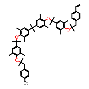 C=Cc1ccc(CC(C)(C)Oc2c(C)cc(C(C)(C)Oc3c(C)cc(C(C)(C)c4cc(C)c(OC(C)(C)c5cc(C)c(OC(C)(C)Cc6ccc(CC)cc6)c(C)c5)c(C)c4)cc3C)cc2C)cc1